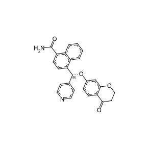 NC(=O)c1ccc([C@H](Oc2ccc3c(c2)OCCC3=O)c2ccncc2)c2ccccc12